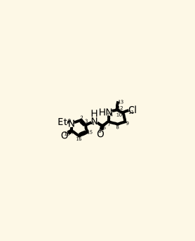 CCn1cc(NC(=O)C2CCC(Cl)C(C)N2)ccc1=O